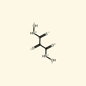 O=C(NO)C(=O)C(=S)NO